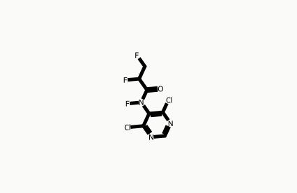 O=C(C(F)CF)N(F)c1c(Cl)ncnc1Cl